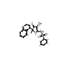 CC1(c2ccnc3ccccc23)OC(NS(=O)(=O)c2ccccc2)=C(O)C1=O